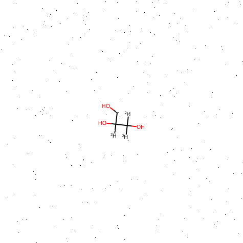 [2H]C([2H])(O)C([2H])(O)CO